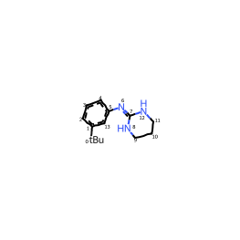 CC(C)(C)c1cccc(N=C2NCCCN2)c1